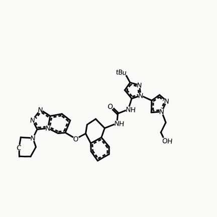 CC(C)(C)c1cc(NC(=O)NC2CCC(Oc3ccc4nnc(N5CCCCC5)n4c3)c3ccccc32)n(-c2cnn(CCO)c2)n1